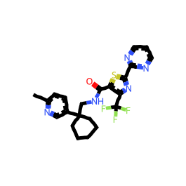 Cc1ccc(C2(CNC(=O)c3sc(-c4ncccn4)nc3C(F)(F)F)CCCCC2)cn1